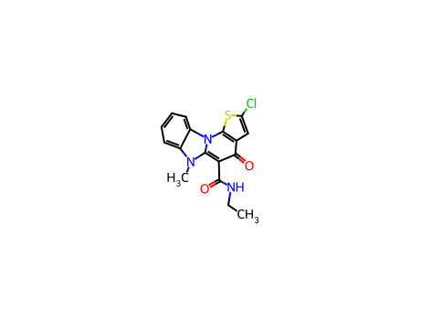 CCNC(=O)c1c(=O)c2cc(Cl)sc2n2c3ccccc3n(C)c12